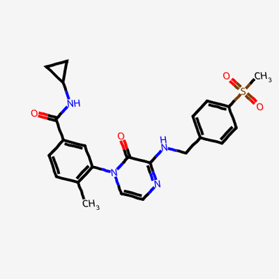 Cc1ccc(C(=O)NC2CC2)cc1-n1ccnc(NCc2ccc(S(C)(=O)=O)cc2)c1=O